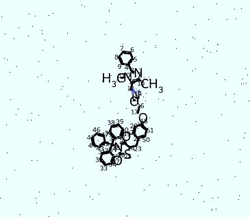 Cc1nc(-c2ccccc2)n(C)c1/C=N/OCCOc1ccc(CC2SC(=O)N(C(c3ccccc3)(c3ccccc3)c3ccccc3)C2=O)cc1